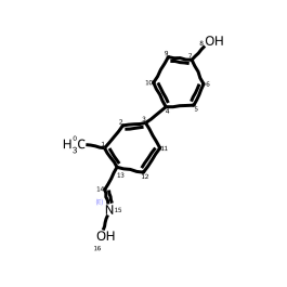 Cc1cc(-c2ccc(O)cc2)ccc1/C=N/O